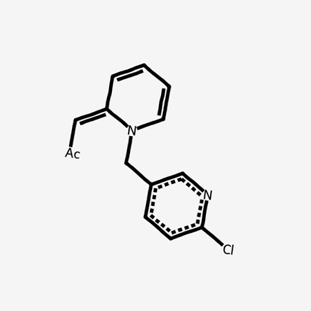 CC(=O)/C=C1/C=CC=CN1Cc1ccc(Cl)nc1